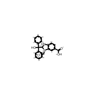 CCN1c2cc(C(=O)O)ccc2NC1C(O)(c1ccccc1)c1ccccc1